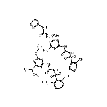 COc1nc(NC(=O)NS(=O)(=O)c2ccccc2C(F)(F)F)nc(C(F)(F)F)n1.Cc1cccc(C(=O)O)c1S(=O)(=O)NC(=O)Nc1nc(OCC(F)(F)F)nc(N(C)C)n1.NC(=O)Nc1csnn1